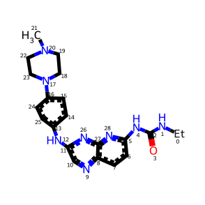 CCNC(=O)Nc1ccc2ncc(Nc3ccc(N4CCN(C)CC4)cc3)nc2n1